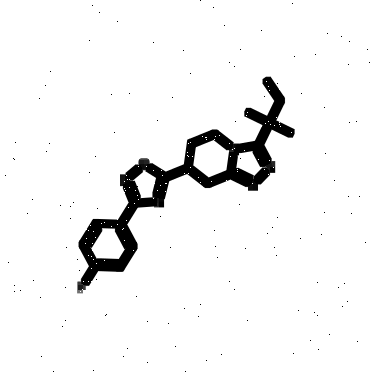 CCC(C)(C)c1nnc2n1CCC(c1nc(-c3ccc(F)cc3)no1)C2